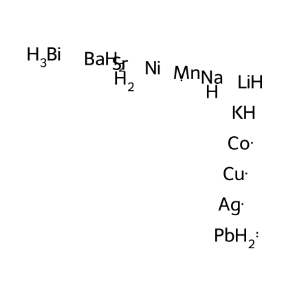 [Ag].[BaH2].[BiH3].[Co].[Cu].[KH].[LiH].[Mn].[NaH].[Ni].[PbH2].[SrH2]